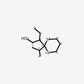 CCC(CO)C1(C(C)C)SCCCS1